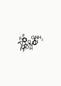 CCOc1c([C@H]2[C@H](C(=O)Nc3ccnc(C(N)=O)c3)O[C@@](C)(C(F)(F)F)[C@H]2C)ccc(F)c1F